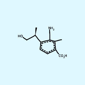 Cc1c(C(=O)O)ccc([C@H](C)CO)c1N